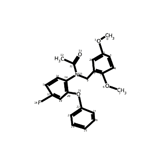 COc1ccc(OC)c(CN(C(C)=O)c2ccc(F)cc2Oc2ccccc2)c1